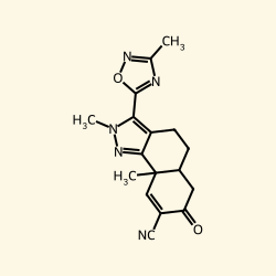 Cc1noc(-c2c3c(nn2C)C2(C)C=C(C#N)C(=O)CC2CC3)n1